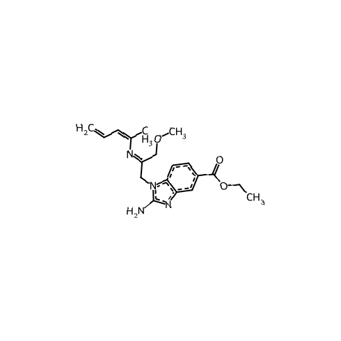 C=C/C=C(C)\N=C(/COC)Cn1c(N)nc2cc(C(=O)OCC)ccc21